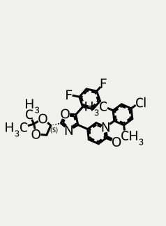 Cc1cc(Cl)cc(C)c1-n1cc(-c2nc([C@@H]3COC(C)(C)O3)oc2-c2ccc(F)cc2F)ccc1=O